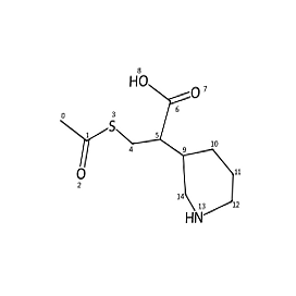 CC(=O)SCC(C(=O)O)C1CCCNC1